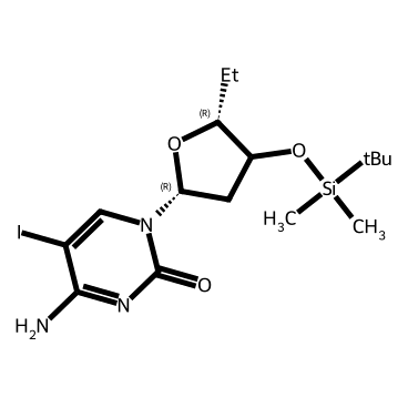 CC[C@H]1O[C@@H](n2cc(I)c(N)nc2=O)CC1O[Si](C)(C)C(C)(C)C